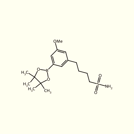 COc1cc(CCCCS(N)(=O)=O)cc(B2OC(C)(C)C(C)(C)O2)c1